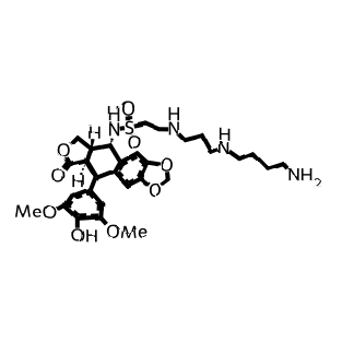 COc1cc(C2c3cc4c(cc3[C@@H](NS(=O)(=O)CCNCCCNCCCCN)[C@H]3COC(=O)[C@H]23)OCO4)cc(OC)c1O